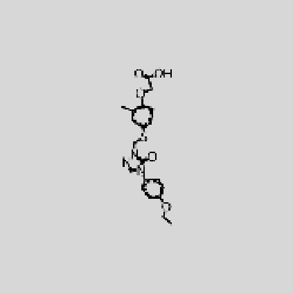 CCOc1ccc(-n2cnn(CSc3ccc(OCC(=O)O)c(C)c3)c2=O)cc1